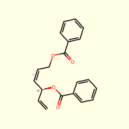 C=C[C@@H](/C=C\COC(=O)c1ccccc1)OC(=O)c1ccccc1